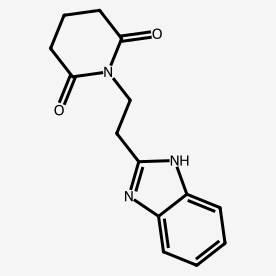 O=C1CCCC(=O)N1CCc1nc2ccccc2[nH]1